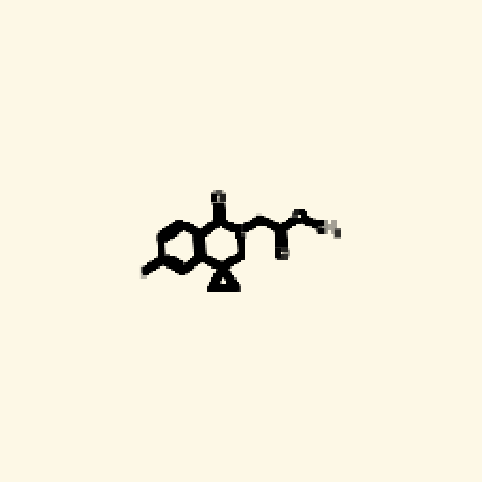 COC(=O)CN1CC2(CC2)c2cc(I)ccc2C1=O